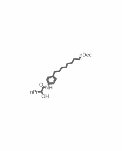 [CH2]CCCCCCCCCCCCCCCCCc1ccc(NC(=O)C(O)CCC)cc1